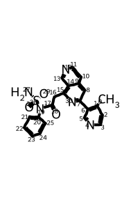 Cc1ccncc1-c1cc2ccncc2c(CC(=O)N(c2ccccc2)S(N)(=O)=O)n1